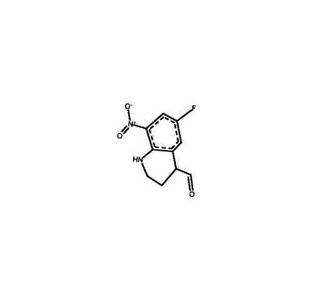 O=CC1CCNc2c1cc(F)cc2[N+](=O)[O-]